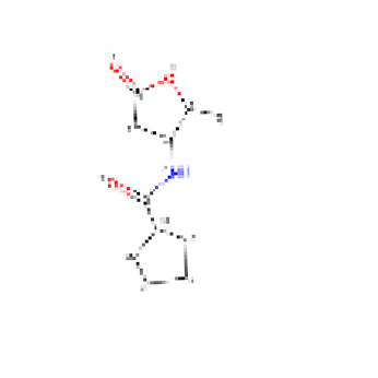 CC1OC(=O)CC1NC(=O)C1CCCC1